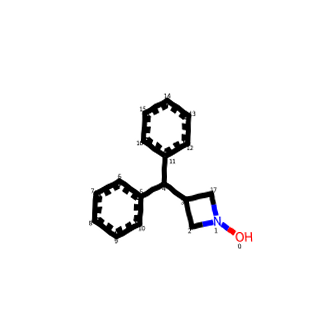 ON1CC(C(c2ccccc2)c2ccccc2)C1